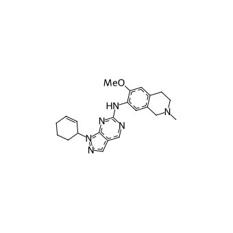 COc1cc2c(cc1Nc1ncc3cnn(C4C=CCCC4)c3n1)CN(C)CC2